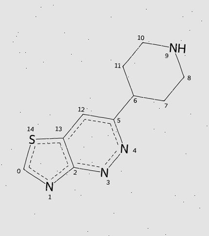 c1nc2nnc(C3CCNCC3)cc2s1